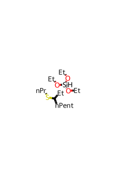 CCCCCC(CC)SCCC.CCO[SiH](OCC)OCC